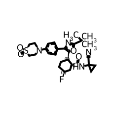 CC(C)(C)c1nc(-c2ccc(N3CCS(=O)(=O)CC3)cc2)c([C@@H]2CC[C@H](F)C[C@H]2C(=O)NC2(C#N)CC2)o1